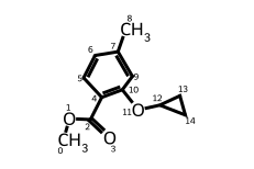 COC(=O)c1ccc(C)cc1OC1CC1